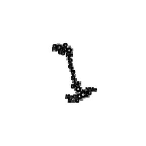 CNC(=O)N1N=C(c2ccc(C(=O)NCCOCCOCCOCCOCCNc3cccc4c3C(=O)N([C@H]3CCC(=O)NC3=O)C4=O)cc2)c2cc(OC)c(OC)cc2C[C@@H]1C